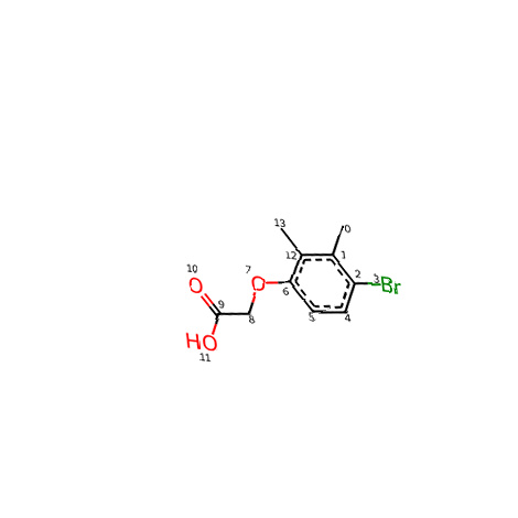 Cc1c(Br)ccc(OCC(=O)O)c1C